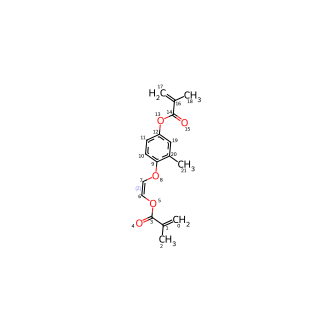 C=C(C)C(=O)O/C=C\Oc1ccc(OC(=O)C(=C)C)cc1C